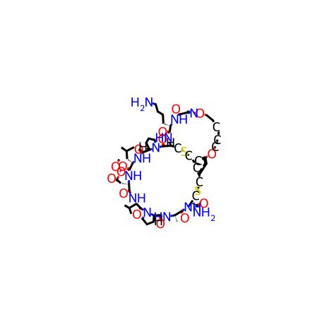 COOC(=O)C[C@@H]1NC(=O)[C@H](CC(C)C)NC(=O)[C@@H]2CCCN2C(=O)[C@@H]2CSCc3cc(cc(c3)OCCCCCCO/N=C/C(=O)N[C@@H](CCCCN)C(=O)N2)CSC[C@@H](C(N)=O)NC(=O)[C@H](C)NC(=O)[C@@H]2CCCN2C(=O)C(C(C)C)NC1=O